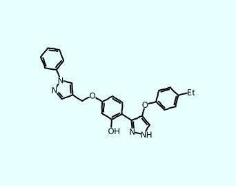 CCc1ccc(Oc2c[nH]nc2-c2ccc(OCc3cnn(-c4ccccc4)c3)cc2O)cc1